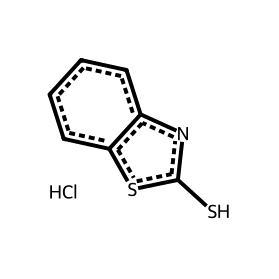 Cl.Sc1nc2ccccc2s1